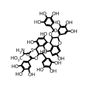 N[C@@H](CS[C@H]1c2c(O)cc(O)c([C@H]3c4c(O)cc(O)cc4O[C@H](c4cc(O)c(O)c(O)c4)C3OC(=O)c3cc(O)c(O)c(O)c3)c2OC(c2cc(O)c(O)c(O)c2)C1OC(=O)c1cc(O)c(O)c(O)c1)C(=O)O